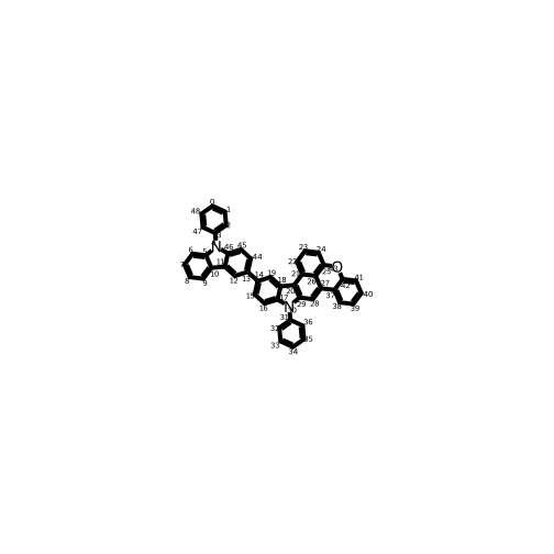 c1ccc(-n2c3ccccc3c3cc(-c4ccc5c(c4)c4c6cccc7c6c(cc4n5-c4ccccc4)-c4ccccc4O7)ccc32)cc1